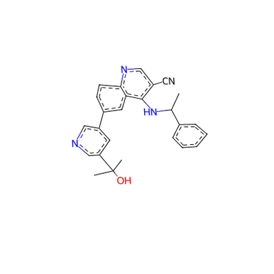 CC(Nc1c(C#N)cnc2ccc(-c3cncc(C(C)(C)O)c3)cc12)c1ccccc1